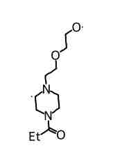 CCC(=O)N1C[CH]N(CCOCC[O])CC1